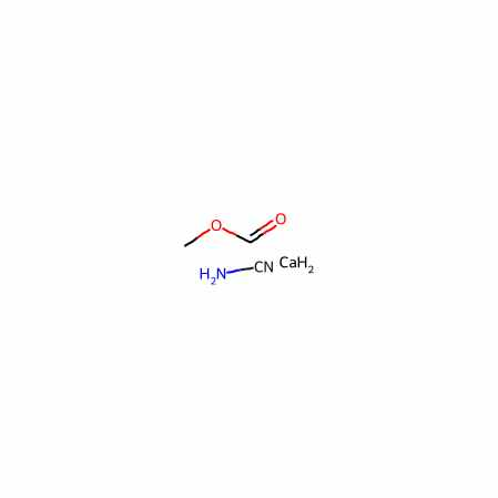 COC=O.N#CN.[CaH2]